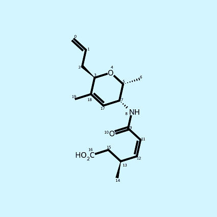 C=CC[C@H]1O[C@H](C)[C@H](NC(=O)/C=C\[C@@H](C)CC(=O)O)C=C1C